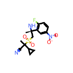 CC(C#N)(C1CC1)S(=O)(=O)C[C@](C)(N)c1cc([N+](=O)[O-])ccc1F